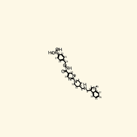 Cn1cc(CNCC2CCN(c3ncc(C(=O)NOCc4ccc(B(O)O)cc4)cn3)CC2)c2ccccc21